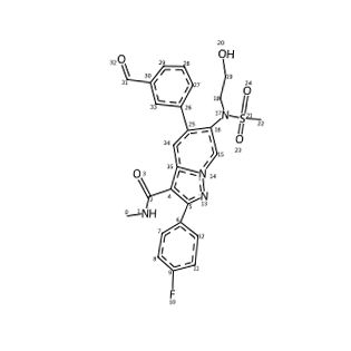 CNC(=O)c1c(-c2ccc(F)cc2)nn2cc(N(CCO)S(C)(=O)=O)c(-c3cccc(C=O)c3)cc12